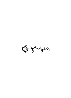 CC(/C=C/CC(=O)Oc1ccccc1)[N+](=O)[O-]